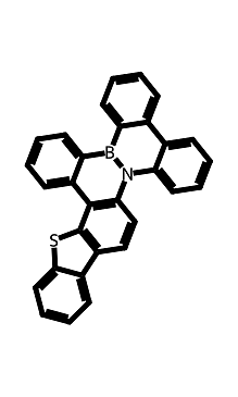 c1ccc2c(c1)B1c3ccccc3-c3c(ccc4c3sc3ccccc34)N1c1ccccc1-2